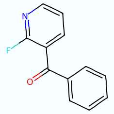 O=C(c1ccccc1)c1cccnc1F